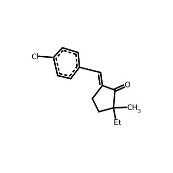 CCC1(C)CC/C(=C\c2ccc(Cl)cc2)C1=O